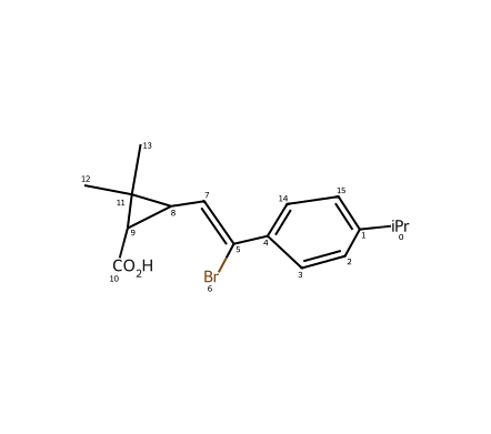 CC(C)c1ccc(C(Br)=CC2C(C(=O)O)C2(C)C)cc1